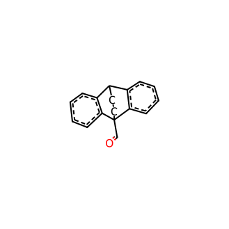 O=CC12CCC(c3ccccc31)c1ccccc12